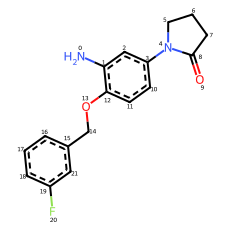 Nc1cc(N2CCCC2=O)ccc1OCc1cccc(F)c1